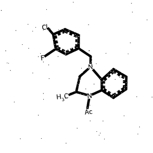 CC(=O)N1c2ccccc2N(Cc2ccc(Cl)c(F)c2)CC1C